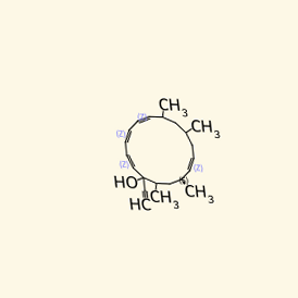 C#CC1(O)\C=C/C=C\C=C/C(C)CC(C)C/C=C\[C@@H](C)CC1C